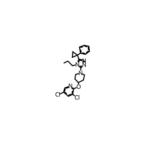 CCCn1c(N2CCC(Oc3ncc(Cl)cc3Cl)CC2)nnc1C1(c2ccccc2)CC1